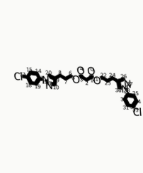 O=C(CC(=O)OCCCc1cnn(-c2ccc(Cl)cc2)c1)OCCCc1cnn(-c2ccc(Cl)cc2)c1